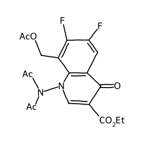 CCOC(=O)c1cn(N(C(C)=O)C(C)=O)c2c(COC(C)=O)c(F)c(F)cc2c1=O